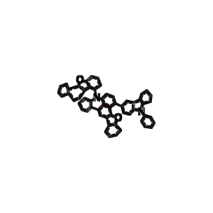 c1ccc(-n2c3ccccc3c3cc(-c4ccc(N(c5ccccc5-c5ccc6oc7ccccc7c6c5)c5cccc6oc7c8ccccc8ccc7c56)cc4)ccc32)cc1